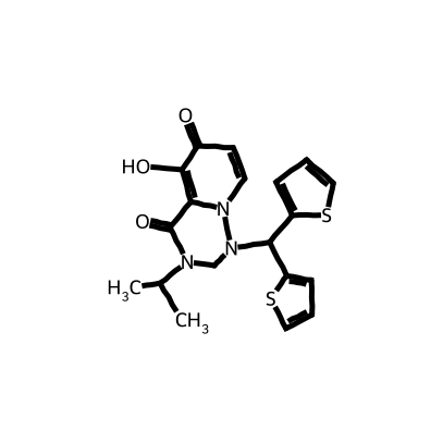 CC(C)N1CN(C(c2cccs2)c2cccs2)n2ccc(=O)c(O)c2C1=O